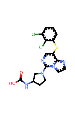 O=C(O)NC1CCN(c2ncc(Sc3cccc(Cl)c3Cl)c3nccn23)C1